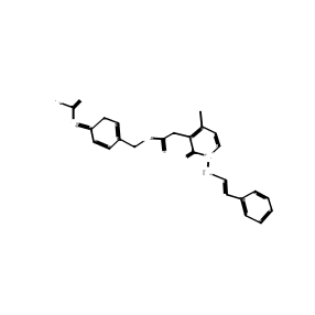 Cc1ccn(NC=Cc2ccccc2)c(=O)c1CC(=O)NCC1=CCC(=NC(N)=O)C=C1